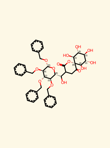 O=C1O[C@@]2(C(=O)CC1C(O)[C@H]1O[C@@H](OCc3ccccc3)[C@H](OCc3ccccc3)[C@@H](OCc3ccccc3)[C@@H]1OCc1ccccc1)[C@H](O)[C@@H](O)[C@H](O)[C@@H](O)[C@@H]2O